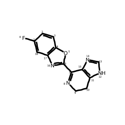 Fc1ccc2oc(C3=NCCc4[nH]cnc43)nc2c1